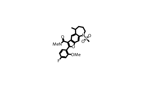 CNC(=O)c1c(-c2ccc(F)cc2OC)oc2cc3c(cc12)C(C)CCCN3S(C)(=O)=O